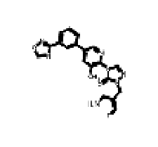 Cc1cc(-c2cccc(-c3ncon3)c2)cnc1-n1cnn(C/C(=C/F)CN)c1=O